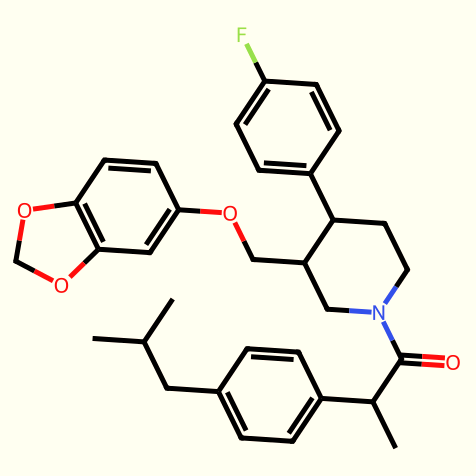 CC(C)Cc1ccc(C(C)C(=O)N2CCC(c3ccc(F)cc3)C(COc3ccc4c(c3)OCO4)C2)cc1